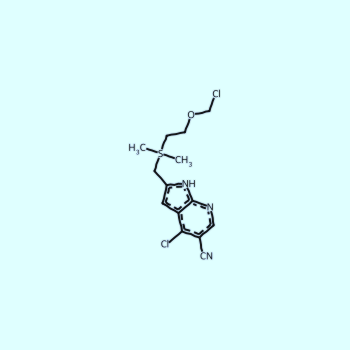 CS(C)(CCOCCl)Cc1cc2c(Cl)c(C#N)cnc2[nH]1